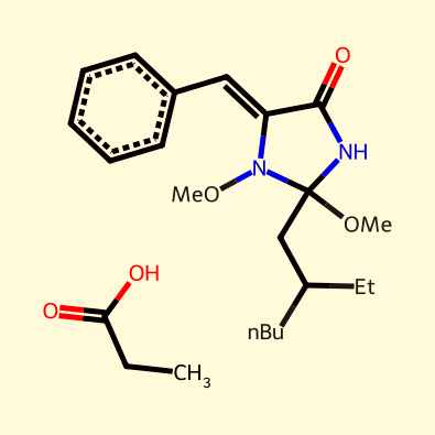 CCC(=O)O.CCCCC(CC)CC1(OC)NC(=O)C(=Cc2ccccc2)N1OC